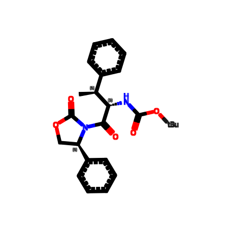 C[C@@H](c1ccccc1)[C@H](NC(=O)OC(C)(C)C)C(=O)N1C(=O)OC[C@@H]1c1ccccc1